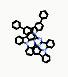 Cc1ccc2c(c1)c1ccccc1n2-c1ccccc1-c1nc(-c2ccccc2-n2c3ccccc3c3ccccc32)nc(-n2c3ccc(-c4ccccc4)cc3c3cc(-c4ccccc4)ccc32)n1